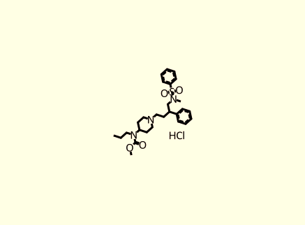 CCCN(C(=O)OC)C1CCN(CCC(CN(C)S(=O)(=O)c2ccccc2)c2ccccc2)CC1.Cl